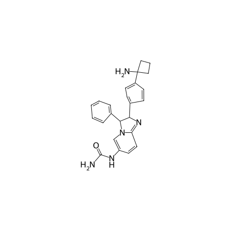 NC(=O)NC1=CN2C(=NC(c3ccc(C4(N)CCC4)cc3)C2c2ccccc2)C=C1